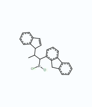 CC(C1C=Cc2ccccc21)[CH](c1cccc2c1Cc1ccccc1-2)[Zr]([Cl])[Cl]